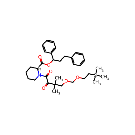 CC(C)(COCOCC[Si](C)(C)C)C(=O)C(=O)N1CCCC[C@H]1C(=O)OC(CCc1ccccc1)c1ccccc1